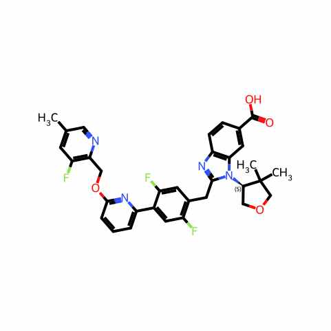 Cc1cnc(COc2cccc(-c3cc(F)c(Cc4nc5ccc(C(=O)O)cc5n4[C@@H]4COCC4(C)C)cc3F)n2)c(F)c1